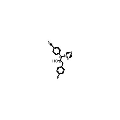 N#Cc1ccc([C@H]([C@H](O)Cc2ccc(F)cc2)n2cncn2)cc1